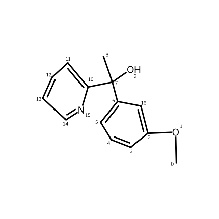 COc1cccc(C(C)(O)c2ccccn2)c1